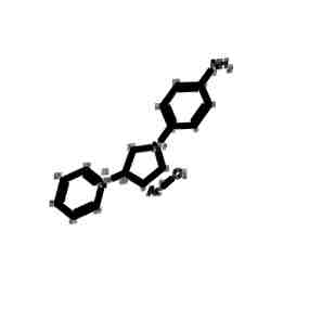 CC(=O)[O-].Nc1ccc(N2CCC([n+]3ccccc3)C2)cc1